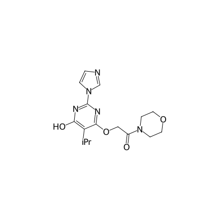 CC(C)c1c(O)nc(-n2ccnc2)nc1OCC(=O)N1CCOCC1